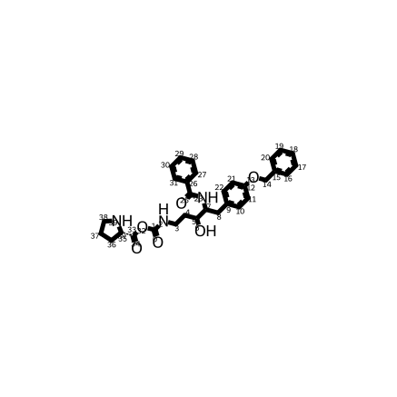 O=C(NCCC(O)C(Cc1ccc(OCc2ccccc2)cc1)NC(=O)c1ccccc1)OC(=O)[C@@H]1CCCN1